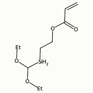 C=CC(=O)OCC[SiH2]C(OCC)OCC